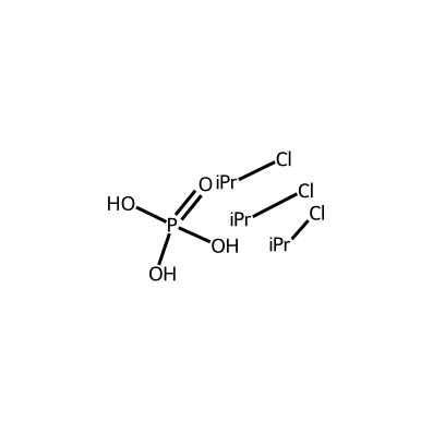 CC(C)Cl.CC(C)Cl.CC(C)Cl.O=P(O)(O)O